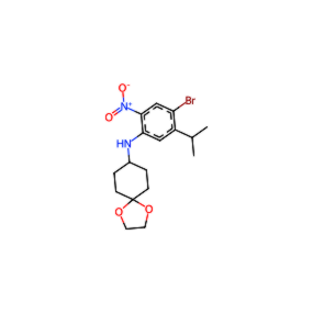 CC(C)c1cc(NC2CCC3(CC2)OCCO3)c([N+](=O)[O-])cc1Br